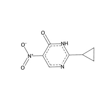 O=c1[nH]c(C2CC2)ncc1[N+](=O)[O-]